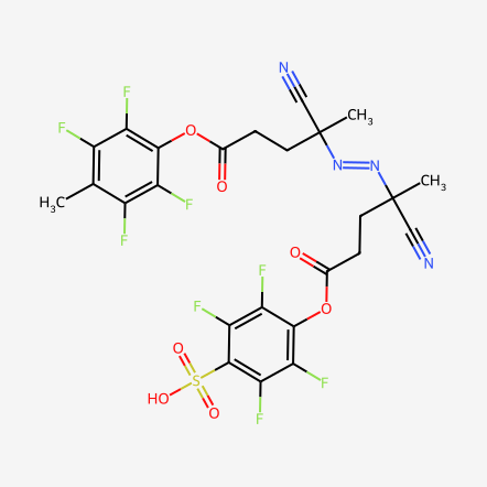 Cc1c(F)c(F)c(OC(=O)CCC(C)(C#N)N=NC(C)(C#N)CCC(=O)Oc2c(F)c(F)c(S(=O)(=O)O)c(F)c2F)c(F)c1F